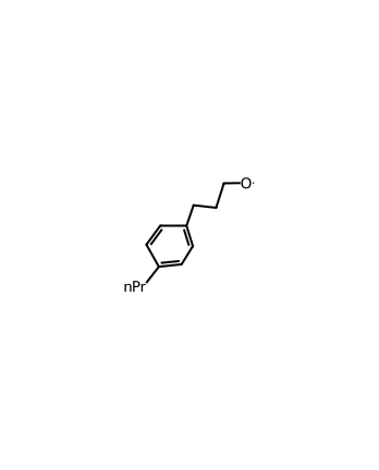 CCCc1ccc(CCC[O])cc1